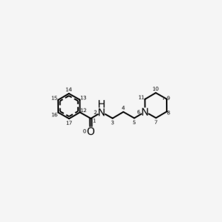 O=C(NCCCN1CC[CH]CC1)c1ccccc1